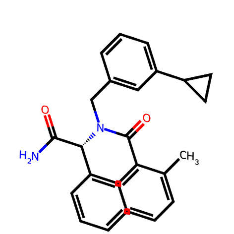 Cc1ccccc1C(=O)N(Cc1cccc(C2CC2)c1)[C@@H](C(N)=O)c1ccccc1